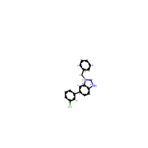 Clc1cccc(-c2ccc3c(c2)N(Cc2ccccc2)[CH]N3)c1